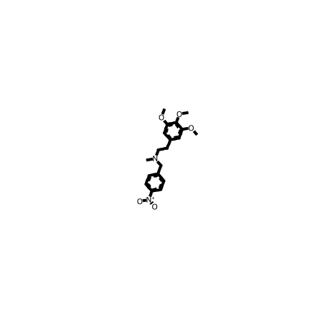 COc1cc(CCN(C)Cc2ccc([N+](=O)[O-])cc2)cc(OC)c1OC